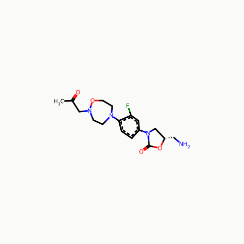 CC(=O)CN1CCN(c2ccc(N3C[C@H](CN)OC3=O)cc2F)CCO1